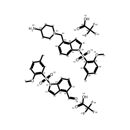 COc1ccc(C)cc1S(=O)(=O)n1ccc2c(C=O)cccc21.COc1ccc(C)cc1S(=O)(=O)n1ccc2c(CN3CCC(N)CC3)cccc21.O=C(O)C(F)(F)F.O=C(O)C(F)(F)F